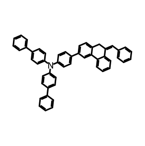 C(=C1\Cc2ccc(-c3ccc(N(c4ccc(-c5ccccc5)cc4)c4ccc(-c5ccccc5)cc4)cc3)cc2-c2ccccc21)/c1ccccc1